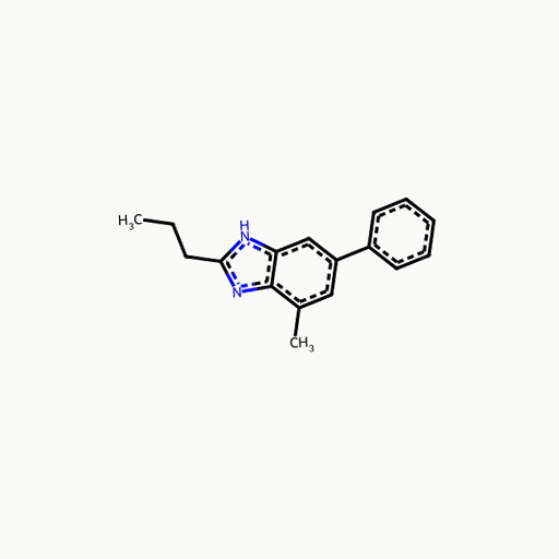 CCCc1nc2c(C)cc(-c3ccccc3)cc2[nH]1